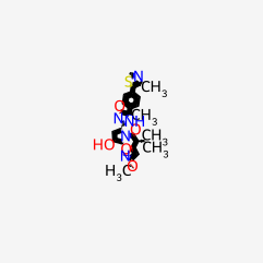 COc1cc([C@@H](C(=O)N2C[C@H](O)C[C@@H]2C2=NC(=O)[C@](C)(c3ccc(-c4scnc4C)cc3)N2)C(C)C)on1